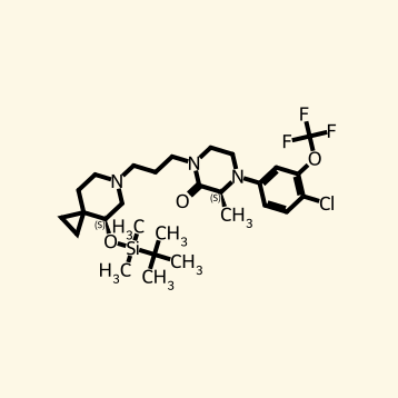 C[C@H]1C(=O)N(CCCN2CCC3(CC3)[C@H](O[Si](C)(C)C(C)(C)C)C2)CCN1c1ccc(Cl)c(OC(F)(F)F)c1